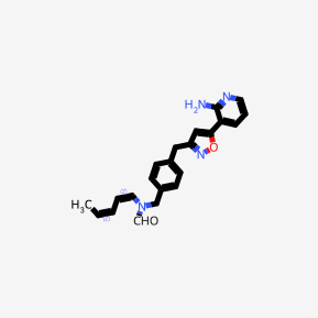 C/C=C\C=C/N(C=O)Cc1ccc(Cc2cc(-c3cccnc3N)on2)cc1